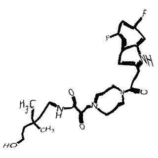 CC(C)(CCO)CNC(=O)C(=O)N1CCN(C(=O)c2cc3c(F)cc(F)cc3[nH]2)CC1